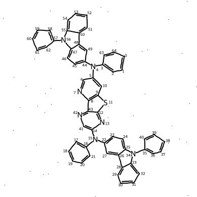 c1ccc(N(c2cnc3c(c2)sc2nc(N(c4ccccc4)c4ccc5c(c4)c4ccccc4n5-c4ccccc4)cnc23)c2ccc3c(c2)c2ccccc2n3-c2ccccc2)cc1